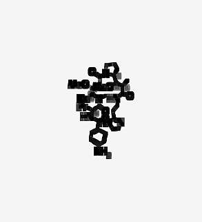 CC[C@H](C)[C@@H]([C@@H](CC(=O)N1CCC[C@H]1[C@H](OC)[C@@H](C)C(=O)NCCc1ncc[nH]1)OC)N(C)C(=O)[C@@H](NC(=O)c1ccc(N)cc1)C(C)C